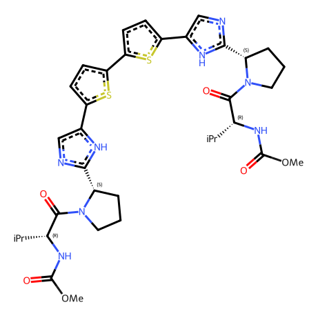 COC(=O)N[C@@H](C(=O)N1CCC[C@H]1c1ncc(-c2ccc(-c3ccc(-c4cnc([C@@H]5CCCN5C(=O)[C@H](NC(=O)OC)C(C)C)[nH]4)s3)s2)[nH]1)C(C)C